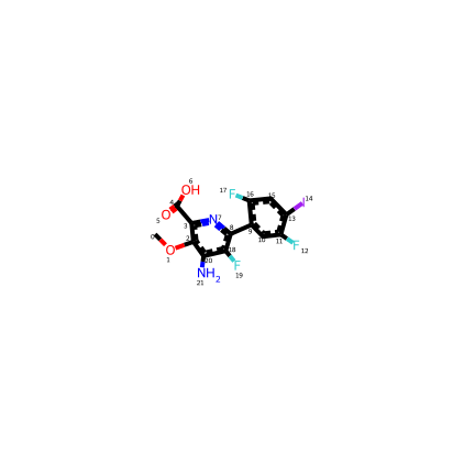 COc1c(C(=O)O)nc(-c2cc(F)c(I)cc2F)c(F)c1N